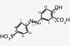 O=C(O)c1cc(/N=N/c2ccc(S(=O)(=O)O)cc2)ccc1O